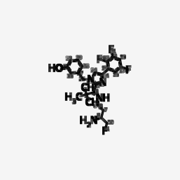 CC(C)(C)[C@@H](NCC[C@H](N)CF)c1nc(-c2cc(F)cc(F)c2F)cn1Cc1cccc(O)c1